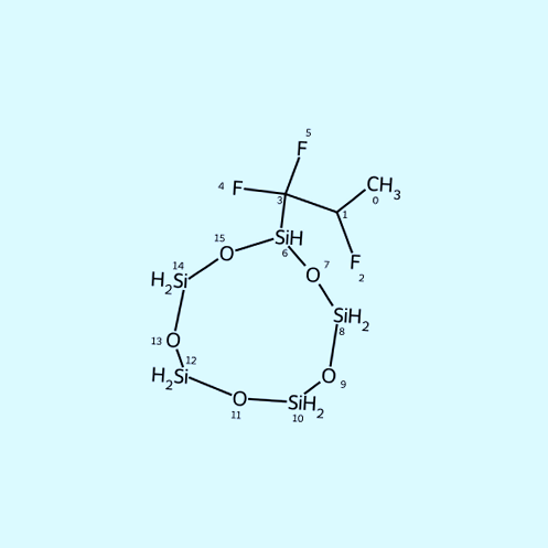 CC(F)C(F)(F)[SiH]1O[SiH2]O[SiH2]O[SiH2]O[SiH2]O1